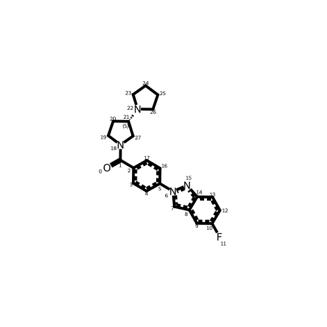 O=C(c1ccc(-n2cc3cc(F)ccc3n2)cc1)N1CC[C@H](N2CCCC2)C1